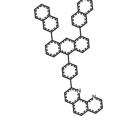 c1ccc2cc(-c3cccc4c(-c5ccc(-c6ccc7ccc8cccnc8c7n6)cc5)c5cccc(-c6ccc7ccccc7c6)c5cc34)ccc2c1